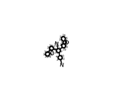 N#Cc1ccc(-c2cc(-c3ccc4oc5ccccc5c4c3)c(C#N)c(-c3cccc4c3oc3ccccc34)c2)cc1